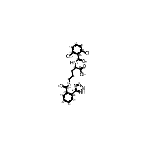 O=C(NCCCC(NC(=O)c1c(Cl)cccc1Cl)C(=O)O)c1ccccc1-c1nnn[nH]1